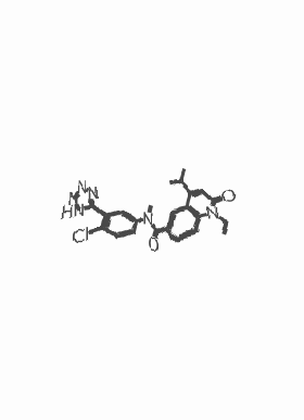 CCn1c(=O)cc(C(C)C)c2cc(C(=O)N(C)c3ccc(Cl)c(-c4nnn[nH]4)c3)ccc21